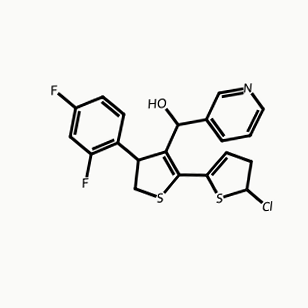 OC(C1=C(C2=CCC(Cl)S2)SCC1c1ccc(F)cc1F)c1cccnc1